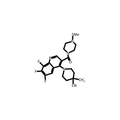 CSN1CCN(C(=O)c2cnc3c(F)c(F)c(F)cc3c2N2CCC(C)(C#N)CC2)CC1